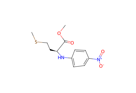 COC(=O)[C@H](CCSC)Nc1ccc([N+](=O)[O-])cc1